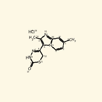 Cc1ccn2c(C3=NNC(=O)SC3)c(C)nc2c1.Cl